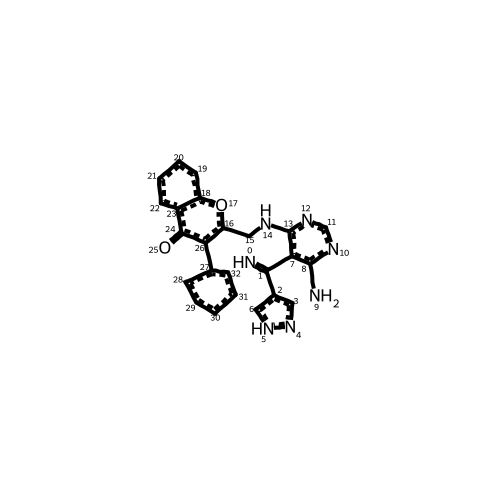 N=C(c1cn[nH]c1)c1c(N)ncnc1NCc1oc2ccccc2c(=O)c1-c1ccccc1